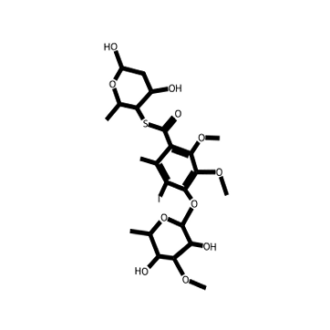 COc1c(OC2OC(C)C(O)C(OC)C2O)c(I)c(C)c(C(=O)SC2C(O)CC(O)OC2C)c1OC